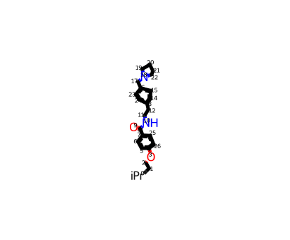 CC(C)CCOc1ccc(C(=O)NCCc2ccc(CN3CCCC3)cc2)cc1